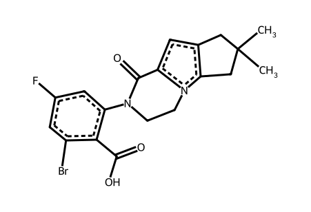 CC1(C)Cc2cc3n(c2C1)CCN(c1cc(F)cc(Br)c1C(=O)O)C3=O